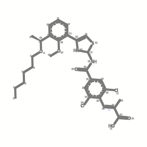 CCCCCCO[C@@H](C)c1cccc(C2=CSC(NC(=O)c3cc(Cl)c(/C=C(\C)C(=O)O)c(Cl)c3)N2)c1OC